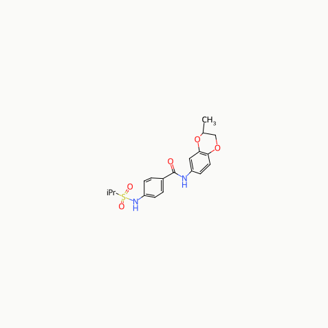 CC1COc2ccc(NC(=O)c3ccc(NS(=O)(=O)C(C)C)cc3)cc2O1